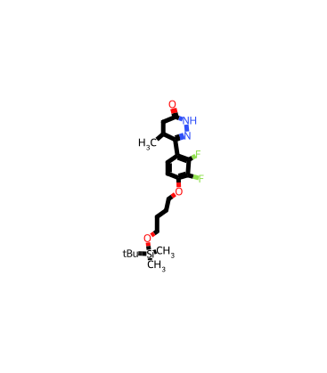 CC1CC(=O)NN=C1c1ccc(OCCCCO[Si](C)(C)C(C)(C)C)c(F)c1F